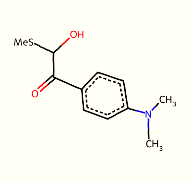 CSC(O)C(=O)c1ccc(N(C)C)cc1